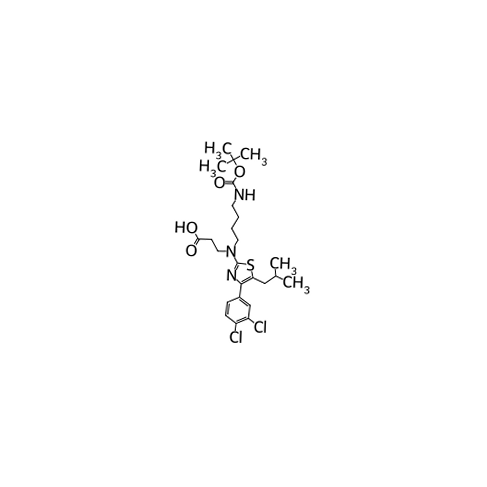 CC(C)Cc1sc(N(CCCCNC(=O)OC(C)(C)C)CCC(=O)O)nc1-c1ccc(Cl)c(Cl)c1